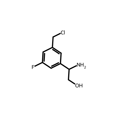 NC(CO)c1cc(F)cc(CCl)c1